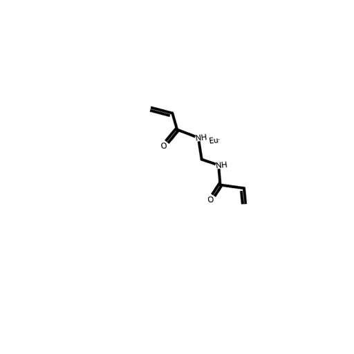 C=CC(=O)NCNC(=O)C=C.[Eu]